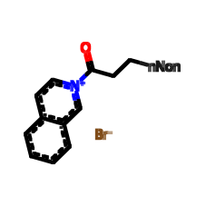 CCCCCCCCCCCC(=O)[n+]1ccc2ccccc2c1.[Br-]